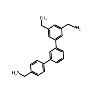 PCc1ccc(-c2cccc(-c3cc(CP)cc(CP)c3)c2)cc1